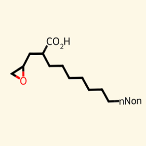 CCCCCCCCCCCCCCCCC(CC1CO1)C(=O)O